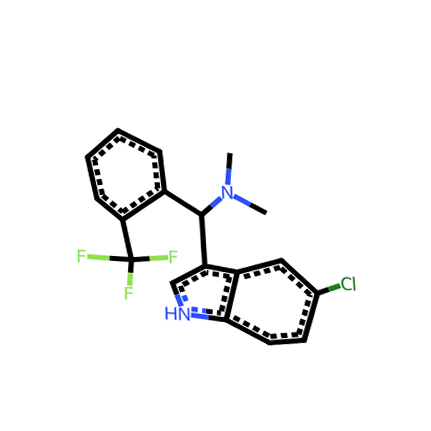 CN(C)C(c1ccccc1C(F)(F)F)c1c[nH]c2ccc(Cl)cc12